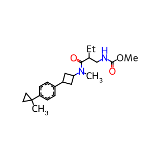 CCC(CNC(=O)OC)C(=O)N(C)C1CC(c2ccc(C3(C)CC3)cc2)C1